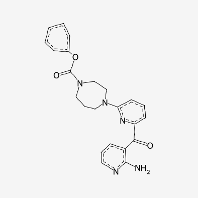 Nc1ncccc1C(=O)c1cccc(N2CCCN(C(=O)Oc3ccccc3)CC2)n1